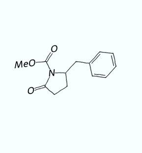 COC(=O)N1C(=O)CCC1Cc1ccccc1